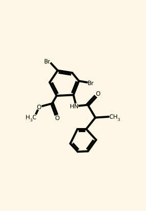 COC(=O)c1cc(Br)cc(Br)c1NC(=O)C(C)c1ccccc1